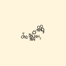 COc1ccc(F)cc1C(=O)NCc1ccc(-c2nc([C@@H]3CCN(C(=O)C4CC4)C3)n3ncnc(N)c23)cc1